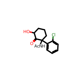 CC(=O)NC1(c2ccccc2Cl)CCCC(O)C1=O